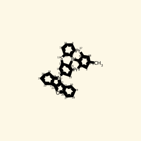 Cc1cc(C(C)C)c(B2c3ccccc3Sc3cc(-n4c5ccccc5c5oc6ccccc6c54)ccc32)c(C(C)C)c1